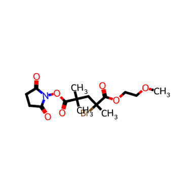 COCCOC(=O)C(C)(Br)CC(C)(C)C(=O)ON1C(=O)CCC1=O